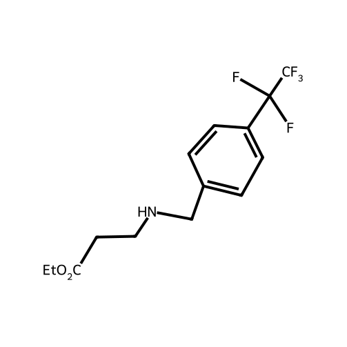 CCOC(=O)CCNCc1ccc(C(F)(F)C(F)(F)F)cc1